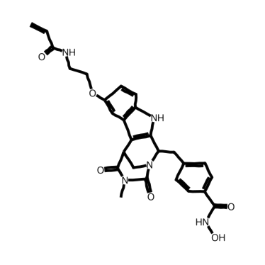 C=CC(=O)NCCOc1ccc2[nH]c3c(c2c1)C1CN(C(=O)N(C)C1=O)C3Cc1ccc(C(=O)NO)cc1